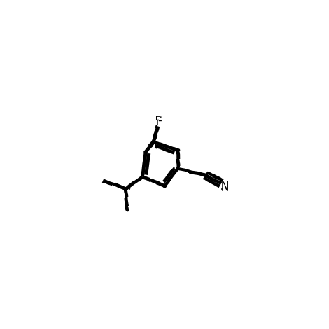 C[C](C)c1cc(F)cc(C#N)c1